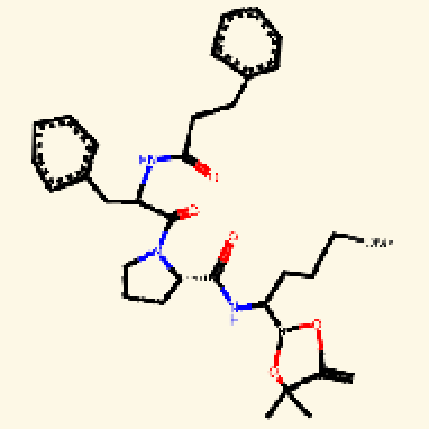 C=C1OB(C(CCCOC)NC(=O)[C@@H]2CCCN2C(=O)C(Cc2ccccc2)NC(=O)CCc2ccccc2)OC1(C)C